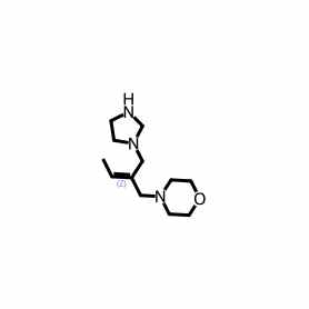 C/C=C(/CN1CCOCC1)CN1CCNC1